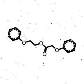 O=C(COc1ccccc1)OCCOc1ccccc1